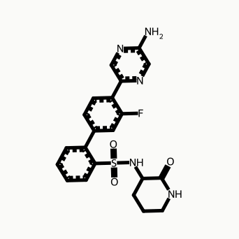 Nc1cnc(-c2ccc(-c3ccccc3S(=O)(=O)NC3CCCNC3=O)cc2F)cn1